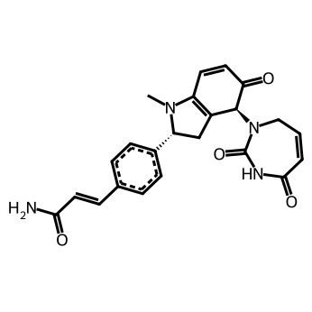 CN1C2=C(C[C@@H]1c1ccc(C=CC(N)=O)cc1)[C@H](N1CC=CC(=O)NC1=O)C(=O)C=C2